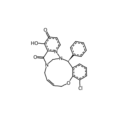 O=C1c2c(O)c(=O)ccn2N2CN1C/C=C\COc1c(Cl)cccc1[C@@H]2c1ccccc1